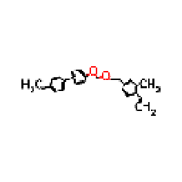 C=Cc1ccc(-c2ccc(OCOCCc3ccc(C=C)c(C)c3)cc2)cc1